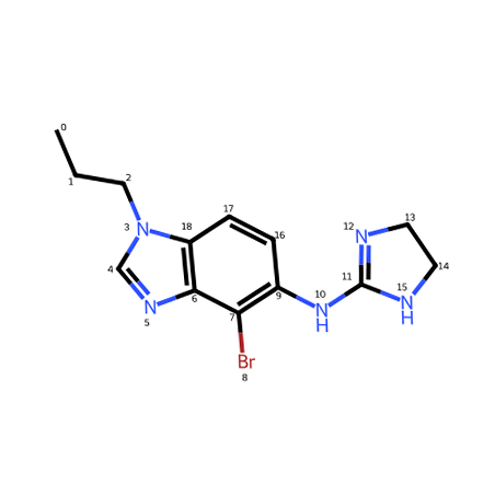 CCCn1cnc2c(Br)c(NC3=NCCN3)ccc21